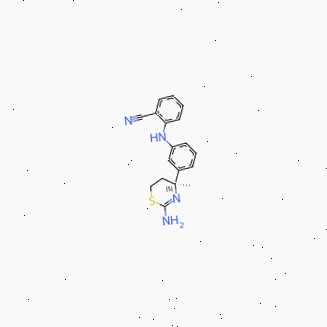 C[C@@]1(c2cccc(Nc3ccccc3C#N)c2)CCSC(N)=N1